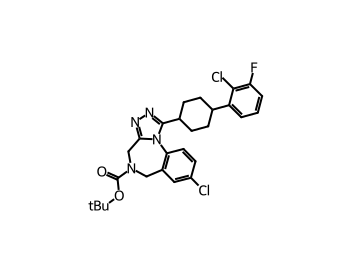 CC(C)(C)OC(=O)N1Cc2cc(Cl)ccc2-n2c(nnc2C2CCC(c3cccc(F)c3Cl)CC2)C1